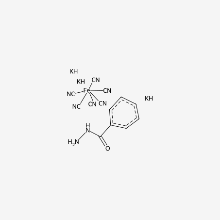 N#[C][Fe]([C]#N)([C]#N)([C]#N)([C]#N)[C]#N.NNC(=O)c1ccccc1.[KH].[KH].[KH]